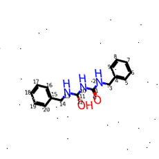 O=C(NCc1ccccc1)NC(O)NCc1ccccc1